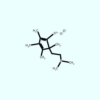 CC1=C(C)C(C)(CCN(C)C)[C]([Ti+2])=C1C.[Cl-].[Cl-]